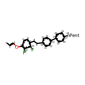 C/C=C/Oc1ccc(CCc2ccc(-c3ccc(CCCCC)cc3)cc2)c(F)c1F